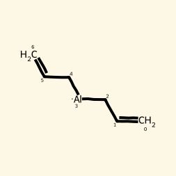 C=C[CH2][Al][CH2]C=C